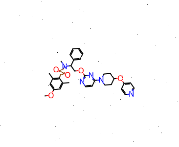 COc1cc(C)c(S(=O)(=O)N(C)C(COc2nccc(N3CCC(Oc4ccncc4)CC3)n2)c2ccccc2)c(C)c1